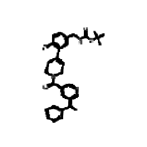 CC(c1ccccc1)c1cncc(C(=O)N2CC=C(c3cc(CNC(=O)OC(C)(C)C)ccc3F)CC2)c1